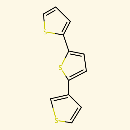 c1csc(-c2ccc(-c3ccsc3)s2)c1